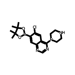 CC1(C)OB(c2cc3ncnc(N4CCNCC4)c3cc2Cl)OC1(C)C